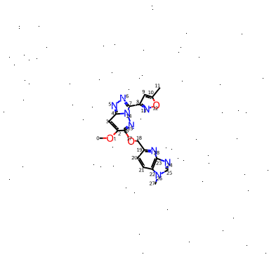 COc1cc2nnc(-c3cc(C)on3)n2nc1OCc1ccc2c(ncn2C)n1